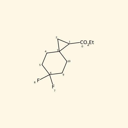 CCOC(=O)C1CC12CCC(F)(F)CC2